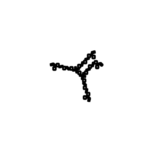 C=CC(=O)OCCOCCOCC(C)(COCCOCCOC(=O)C=C)COCC(C)(COCCOCCOC(=O)C=C)COCCOCCOC(=O)C=C